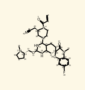 C=CC(=O)N1CCN(C2NC(OC[C@@H]3CCCN3C)NC3C[C@@]4(CCC32)Oc2cc(F)ccc2N(C)C4=O)C[C@H]1CC#N